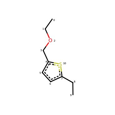 CCOCc1ccc(CC)s1